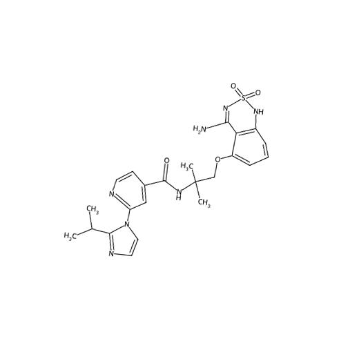 CC(C)c1nccn1-c1cc(C(=O)NC(C)(C)COc2cccc3c2C(N)=NS(=O)(=O)N3)ccn1